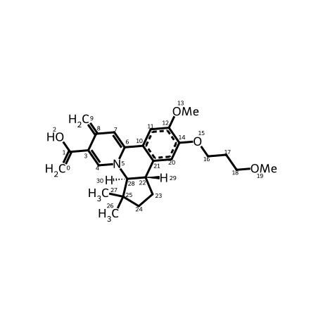 C=C(O)C1=CN2C(=CC1=C)c1cc(OC)c(OCCCOC)cc1[C@@H]1CCC(C)(C)[C@H]12